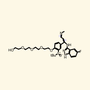 C/N=C\C=C(\Nc1n[nH]c2ccc(F)cc12)c1ccc(OCCOCCOCCOCCO)c([S+]([O-])C(C)(C)C)c1